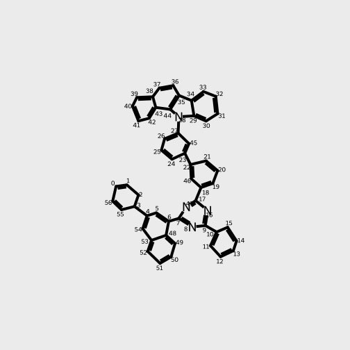 C1=CCC(c2cc(-c3nc(-c4ccccc4)nc(-c4cccc(-c5cccc(-n6c7ccccc7c7ccc8ccccc8c76)c5)c4)n3)c3ccccc3c2)C=C1